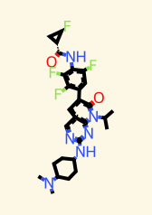 CC(C)n1c(=O)c(-c2cc(F)c(NC(=O)[C@@H]3C[C@@H]3F)c(F)c2F)cc2cnc(NC3CCC(N(C)C)CC3)nc21